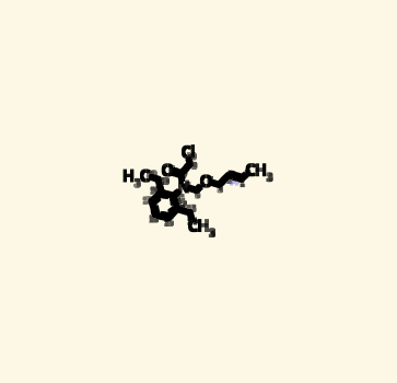 C/C=C/COCN(C(=O)CCl)c1c(CC)cccc1CC